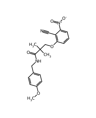 COc1ccc(CNC(=O)C(C)(C)COc2cccc([N+](=O)[O-])c2C#N)cc1